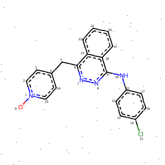 [O-][n+]1ccc(Cc2nnc(Nc3ccc(Cl)cc3)c3ccccc23)cc1